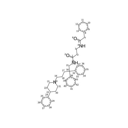 O=C(CCNC(=O)Cc1ccccc1)NCC(CCCN1CCC(c2ccccc2)CC1)(c1ccccc1)c1ccccc1